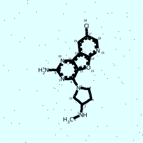 CNC1CCN(c2nc(N)nc3c2oc2ncc(Cl)cc23)C1